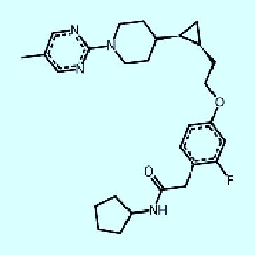 Cc1cnc(N2CCC([C@H]3C[C@H]3CCOc3ccc(CC(=O)NC4CCCC4)c(F)c3)CC2)nc1